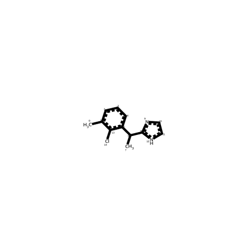 Cc1cccc(C(C)c2ncc[nH]2)c1Cl